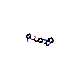 CC(=O)c1ccccc1NC(=O)Cc1ccc(Nc2c(C)cnc3ccccc23)cc1